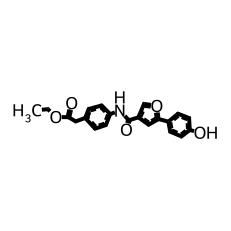 CCOC(=O)Cc1ccc(NC(=O)c2coc(-c3ccc(O)cc3)c2)cc1